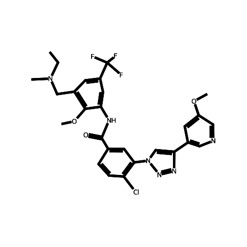 CCN(C)Cc1cc(C(F)(F)F)cc(NC(=O)c2ccc(Cl)c(-n3cc(-c4cncc(OC)c4)nn3)c2)c1OC